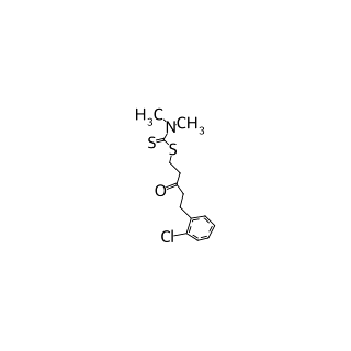 CN(C)C(=S)SCCC(=O)CCc1ccccc1Cl